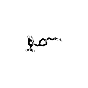 COCCN1CCC(Cn2nc(C)cc2[N+](=O)[O-])CC1